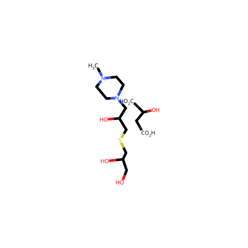 CN1CCN(CC(O)CSCC(O)CO)CC1.O=C(O)CC(O)C(=O)O